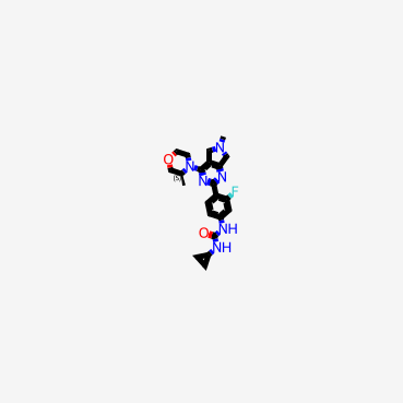 C[C@H]1COCCN1c1nc(-c2ccc(NC(=O)NC3CC3)cc2F)nc2c1CN(C)C2